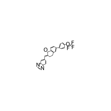 O=C1/C(=C/c2ccc3nccnc3c2)CCc2cc(-c3ccc(OC(F)(F)F)cc3)ccc21